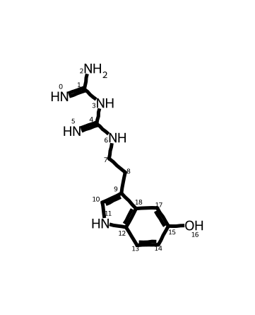 N=C(N)NC(=N)NCCc1c[nH]c2ccc(O)cc12